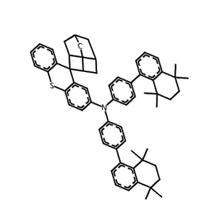 CC1(C)CCC(C)(C)c2c(-c3ccc(N(c4ccc(-c5cccc6c5C(C)(C)CCC6(C)C)cc4)c4ccc5c(c4)C4(c6ccccc6S5)C5CC6CC7CC4C75C6)cc3)cccc21